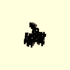 [N-]=[N+]=NCC(COC(C(F)(F)F)(C(F)(F)F)C(F)(F)F)(COC(C(F)(F)F)(C(F)(F)F)C(F)(F)F)C(=O)O